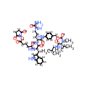 CC(C)CNC(=O)[C@H](C(C)C)N(C)C(=O)OCc1ccc(NC(=O)[C@H](CCCNC(N)=O)NC(=O)[C@@H](Cc2c[nH]c3ccccc23)NC(=O)CCCC(=O)ON2C(=O)CCC2=O)cc1